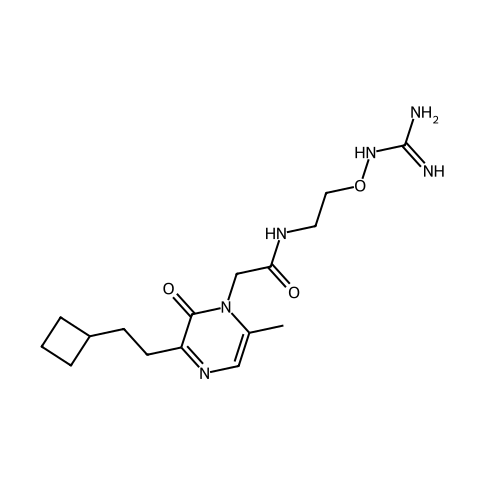 Cc1cnc(CCC2CCC2)c(=O)n1CC(=O)NCCONC(=N)N